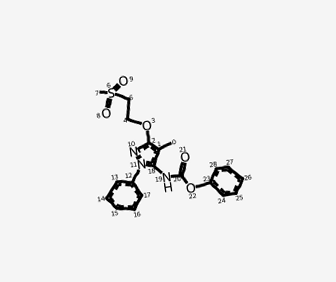 Cc1c(OCCS(C)(=O)=O)nn(-c2ccccc2)c1NC(=O)Oc1ccccc1